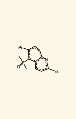 CCc1ccc2c(P(C)(C)=O)c(C(C)C)ccc2n1